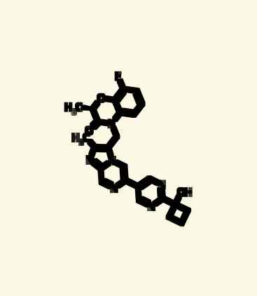 Cc1nc2cnc(-c3cnc(C4(O)CCC4)nc3)cn2c1CN1C(=O)[C@@H](C)Oc2c(F)cccc21